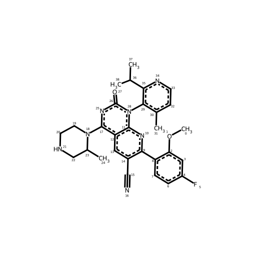 COc1cc(F)ccc1-c1nc2c(cc1C#N)c(N1CCNCC1C)nc(=O)n2-c1c(C)ccnc1C(C)C